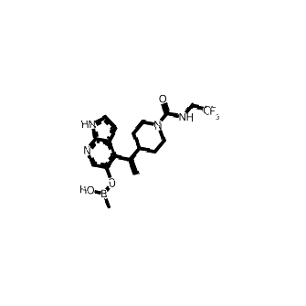 C=C(c1c(OB(C)O)cnc2[nH]ccc12)C1CCN(C(=O)NCC(F)(F)F)CC1